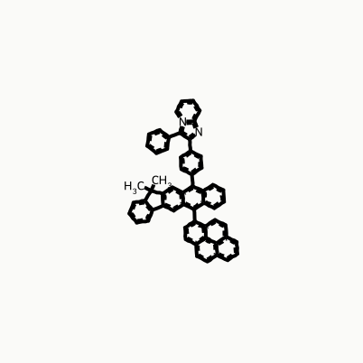 CC1(C)c2ccccc2-c2cc3c(-c4ccc5ccc6cccc7ccc4c5c67)c4ccccc4c(-c4ccc(-c5nc6ccccn6c5-c5ccccc5)cc4)c3cc21